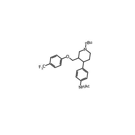 CCCCN1CCC(c2ccc(NC(C)=O)cc2)C(COc2ccc(C(F)(F)F)cc2)C1